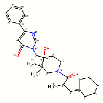 CC(CC1CCCCC1)C(=O)N1CC[C@@](O)(Cn2cnc(-c3ccccc3)cc2=O)C(C)(C)C1